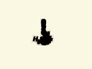 COc1cc(-c2cnc3cc(OCCCN4CCC5(COC5)C4)ccn23)cc(OC(F)F)c1C(=O)NC1CC1